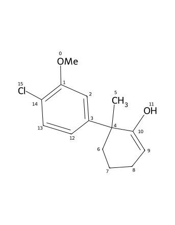 COc1cc(C2(C)CCCC=C2O)ccc1Cl